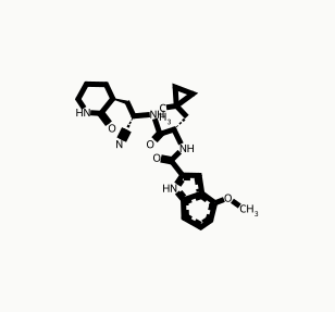 COc1cccc2[nH]c(C(=O)N[C@@H](CC3(C)CC3)C(=O)N[C@H](C#N)C[C@@H]3CCCNC3=O)cc12